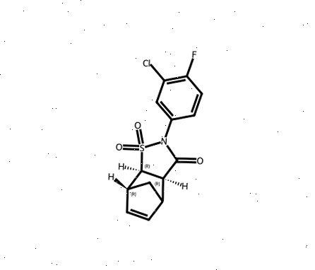 O=C1[C@H]2C3C=C[C@@H](C3)[C@H]2S(=O)(=O)N1c1ccc(F)c(Cl)c1